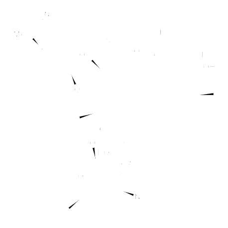 CC[C@H]1OC(=O)[C@H](C)[C@@H](O[C@H]2C[C@@](C)(OC)C(N)[C@H](C)O2)[C@H](C)[C@@H](O[C@@H]2O[C@H](C)C[C@H](N(C)C)[C@H]2OC(C)=O)C(C)(O)C[C@@H](C)CC[C@H](C)[C@@H](O)C1(C)O